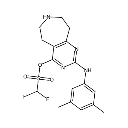 Cc1cc(C)cc(Nc2nc3c(c(OS(=O)(=O)C(F)F)n2)CCNCC3)c1